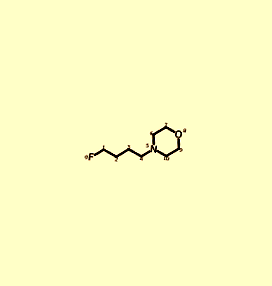 FCCCCN1CCOCC1